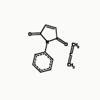 C=C=C.O=C1C=CC(=O)N1c1ccccc1